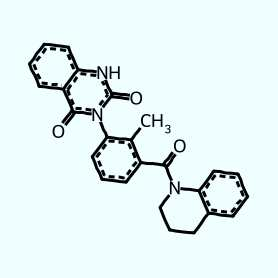 Cc1c(C(=O)N2CCCc3ccccc32)cccc1-n1c(=O)[nH]c2ccccc2c1=O